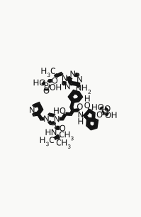 CC(C)(C)NC(=O)[C@@H]1CN(Cc2cccnc2)CCN1CC(O)CC(Cc1ccccc1)C(=O)N[C@H]1c2ccccc2C[C@H]1O.CC(Cn1cnc2c(N)ncnc21)OCP(=O)(O)O.O=S(=O)(O)O